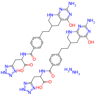 N.N.Nc1nc(O)c2c(n1)NCC(CCc1ccc(C(=O)NC(Cc3nn[nH]n3)C(=O)O)cc1)C2.Nc1nc(O)c2c(n1)NCC(CCc1ccc(C(=O)NC(Cc3nn[nH]n3)C(=O)O)cc1)C2